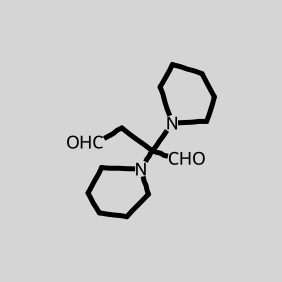 O=CCC(C=O)(N1CCCCC1)N1CCCCC1